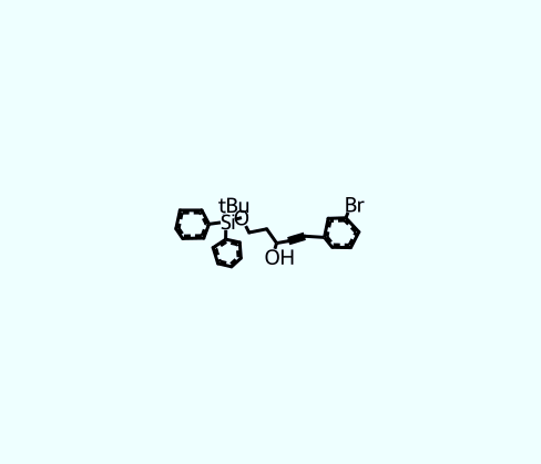 CC(C)(C)[Si](OCCC(O)C#Cc1cccc(Br)c1)(c1ccccc1)c1ccccc1